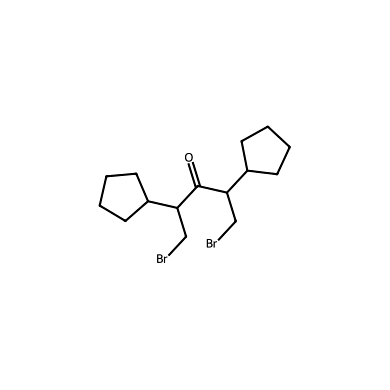 O=C(C(CBr)C1CCCC1)C(CBr)C1CCCC1